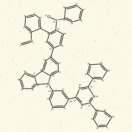 C=Nc1ccccc1-c1cc(-c2ccc3c(c2)c2ccccc2n3-c2cccc(-c3nc(-c4ccccc4)nc(-c4ccccc4)n3)c2)ccc1[S+]([O-])c1ccccc1